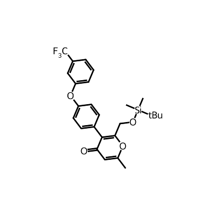 Cc1cc(=O)c(-c2ccc(Oc3cccc(C(F)(F)F)c3)cc2)c(CO[Si](C)(C)C(C)(C)C)o1